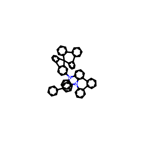 c1ccc(-c2cccc(N(c3ccc4c(c3)C3(c5ccccc5-c5ccccc5-c5ccccc53)c3ccccc3-4)c3cccc4c3N(c3ccccc3)c3ccccc3-c3ccccc3-4)c2)cc1